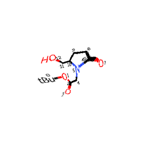 CC(C)(C)OC(=O)CN1C(=O)CCC1CO